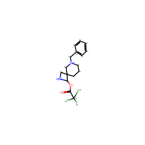 O=C(OC1NCC12CCCN(Cc1ccccc1)C2)C(F)(F)F